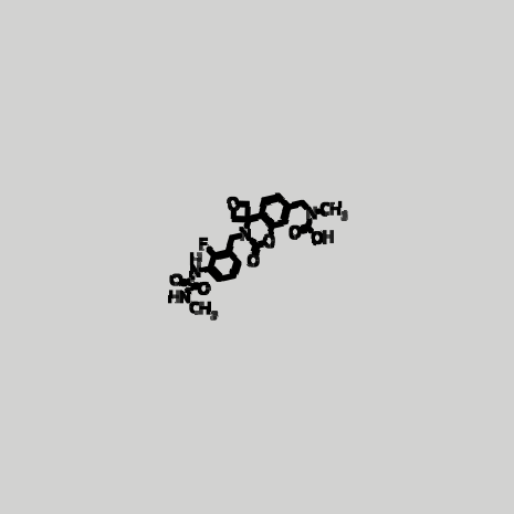 CNS(=O)(=O)Nc1cccc(CN2C(=O)Oc3cc(CN(C)C(=O)O)ccc3C23COC3)c1F